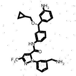 NCc1cccc(-n2nc(C(F)(F)F)cc2C(=O)Nc2cccc([C@H](OCC3CC3)c3cccc(N)c3)c2)c1